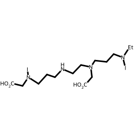 CCN(I)CCCN(CCNCCCN(I)CC(=O)O)CC(=O)O